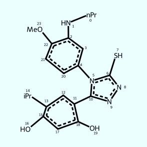 CCCNc1cc(-n2c(S)nnc2-c2cc(C(C)C)c(O)cc2O)ccc1OC